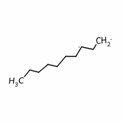 [CH2]C[CH]CCCCCCC